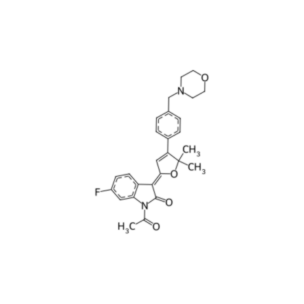 CC(=O)N1C(=O)C(=C2C=C(c3ccc(CN4CCOCC4)cc3)C(C)(C)O2)c2ccc(F)cc21